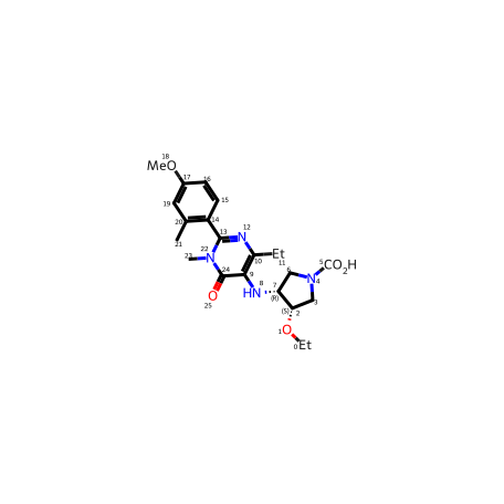 CCO[C@H]1CN(C(=O)O)C[C@H]1Nc1c(CC)nc(-c2ccc(OC)cc2C)n(C)c1=O